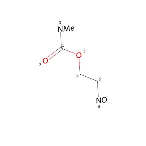 CNC(=O)OCCN=O